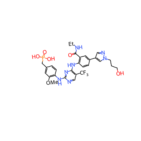 CCNC(=O)c1cc(-c2cnn(CCCO)c2)ccc1Nc1nc(Nc2ccc(CP(=O)(O)O)cc2OC)ncc1C(F)(F)F